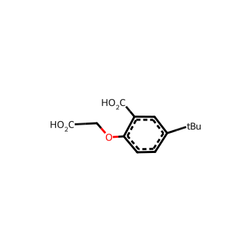 CC(C)(C)c1ccc(OCC(=O)O)c(C(=O)O)c1